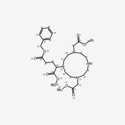 CC(C)OC(=O)CN1CCNCCN(CC(=O)OC(C)(C)C)CCN(C(CCC(=O)OCc2ccccc2)C(=O)OC(C)(C)C)CC1